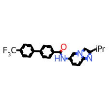 CC(C)c1cn2cc(NC(=O)c3ccc(-c4ccc(C(F)(F)F)cc4)cc3)ccc2n1